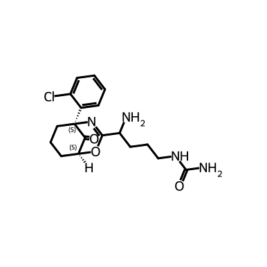 NC(=O)NCCCC(N)C1=N[C@]2(c3ccccc3Cl)CCC[C@H](O1)C2=O